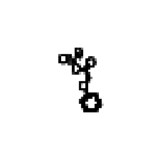 O=C(COc1ccccc1)O[N+](=O)[O-]